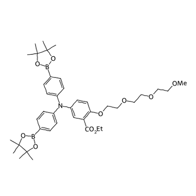 CCOC(=O)c1cc(N(c2ccc(B3OC(C)(C)C(C)(C)O3)cc2)c2ccc(B3OC(C)(C)C(C)(C)O3)cc2)ccc1OCCOCCOCCOC